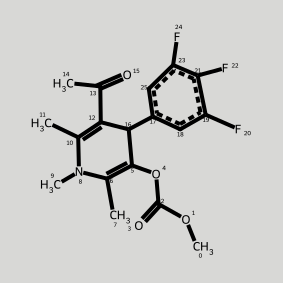 COC(=O)OC1=C(C)N(C)C(C)=C(C(C)=O)C1c1cc(F)c(F)c(F)c1